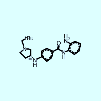 CC(C)(C)CN1CC[C@@H](Nc2ccc(C(=O)Nc3ccccc3N)cc2)C1